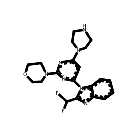 FC(F)c1nc2ccccc2n1-c1cc(N2CCNCC2)nc(N2CCOCC2)n1